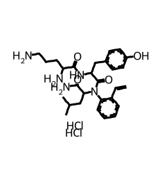 C=Cc1ccccc1N(C(=O)C(Cc1ccc(O)cc1)NC(=O)C(N)CCCN)C(CC(C)C)C(N)=O.Cl.Cl